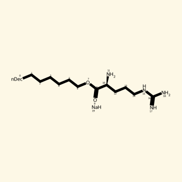 CCCCCCCCCCCCCCCCOC(=O)[C@@H](N)CCCNC(=N)N.[NaH]